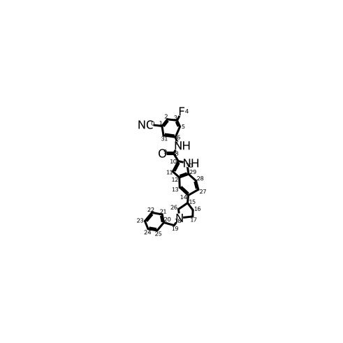 N#Cc1cc(F)cc(NC(=O)c2cc3cc(C4CCN(Cc5ccccc5)C4)ccc3[nH]2)c1